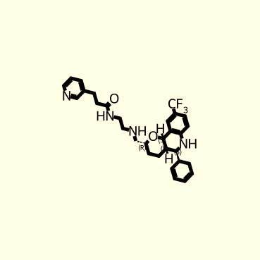 O=C(CCc1cccnc1)NCCNC[C@H]1CC[C@@H]2[C@H](O1)c1cc(C(F)(F)F)ccc1N[C@H]2C1C=CC=CC1